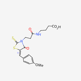 COc1ccc(/C=C2/SC(=S)N(CCC(=O)NCCCC(=O)O)C2=O)cc1